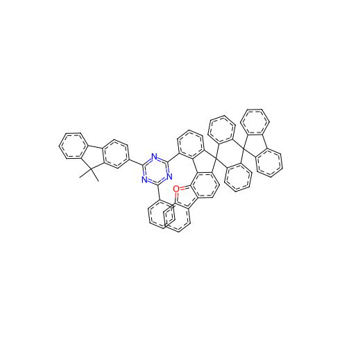 CC1(C)c2ccccc2-c2ccc(-c3nc(-c4ccccc4)nc(-c4cccc5c4-c4c(ccc6c4oc4ccccc46)C54c5ccccc5C5(c6ccccc6-c6ccccc65)c5ccccc54)n3)cc21